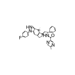 Cc1cnc(C(=O)NC(C[C@H]2CCC3=C2[C@@H](C)C2=CNN(c4ccc(F)cc4)C2=C3)c2ccccc2)cn1